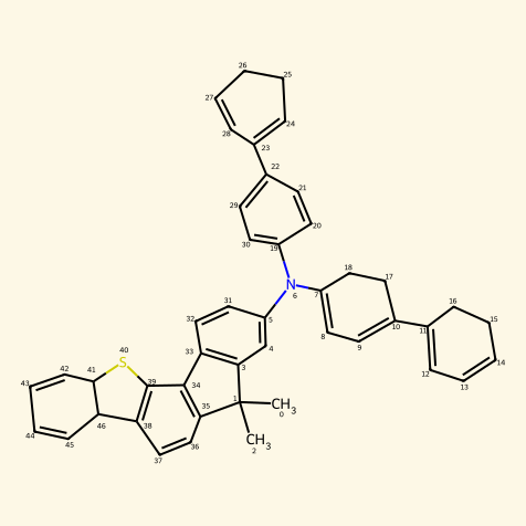 CC1(C)c2cc(N(C3=CC=C(C4=CC=CCC4)CC3)c3ccc(C4=CCCC=C4)cc3)ccc2-c2c1ccc1c2SC2C=CC=CC12